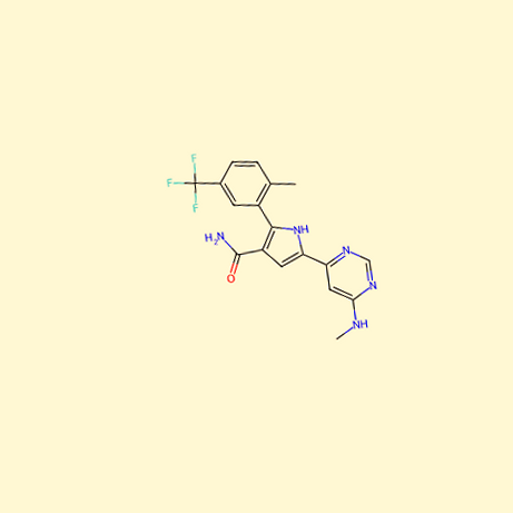 CNc1cc(-c2cc(C(N)=O)c(-c3cc(C(F)(F)F)ccc3C)[nH]2)ncn1